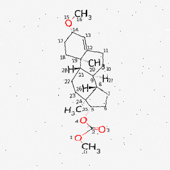 COC(=O)O[C@H]1CC[C@H]2[C@@H]3CCC4=C[C@@H](OC)CC[C@]4(C)[C@H]3CC[C@]12C